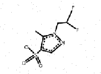 Cc1c(S(=O)(=O)Cl)cnn1CC(F)F